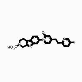 O=C(O)N1CCc2c(sc3cc(-n4ccc(CCc5ccc(F)cn5)cc4=O)ccc23)C1